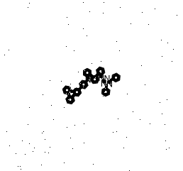 c1ccc(-c2nc(-c3ccccc3)nc(-n3c4ccccc4c4c5c6ccccc6n(-c6ccc(-c7ccc8c9ccccc9c9ccccc9c8c7)cc6)c5ccc43)n2)cc1